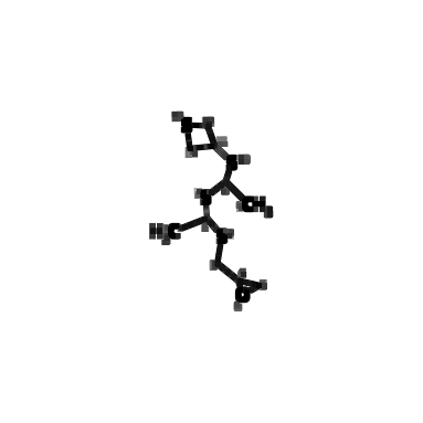 CC(SCC1CO1)SC(C)SC1CSC1